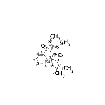 CCCC1(CCC)C(=O)C(=C(SC)SC)C(=O)c2ccccc21